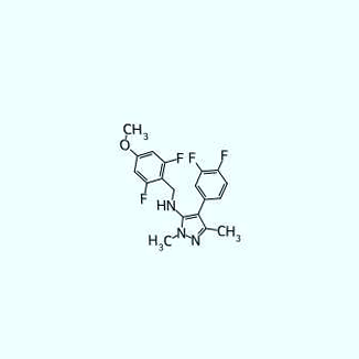 COc1cc(F)c(CNc2c(-c3ccc(F)c(F)c3)c(C)nn2C)c(F)c1